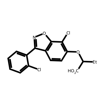 CCC(Oc1ccc2c(-c3ccccc3Cl)noc2c1Cl)C(=O)O